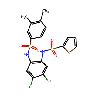 Cc1ccc(S(=O)(=O)Nc2cc(Cl)c(Cl)cc2NS(=O)(=O)c2cccs2)cc1C